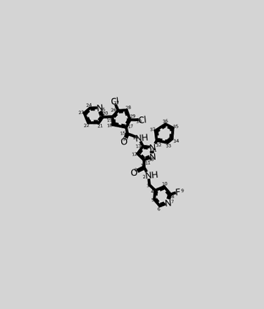 O=C(NCc1ccnc(F)c1)c1cc(NC(=O)c2cc(-c3ccccn3)c(Cl)cc2Cl)n(-c2ccccc2)n1